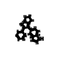 c1ccc(-c2nn3c(c2-c2ccc4[nH]ccc4c2)CCC3)nc1